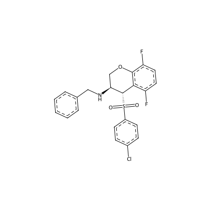 O=S(=O)(c1ccc(Cl)cc1)[C@H]1c2c(F)ccc(F)c2OC[C@@H]1NCc1ccccc1